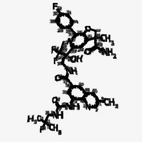 Cc1cnc2c(NC(=O)NCC(C)(C)F)cc(C(=O)NC[C@](O)(c3cc4c(c(-c5ccc(F)cc5)n3)OC[C@]4(C)C(N)=O)C(F)(F)F)cc2c1